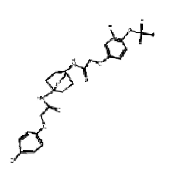 O=C(COc1ccc(Cl)cc1)NC12CCC(NC(=O)COc3ccc(OC(F)(F)F)c(F)c3)(CC1)CC2